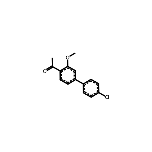 COc1cc(-c2ccc(Cl)cc2)ccc1C(C)=O